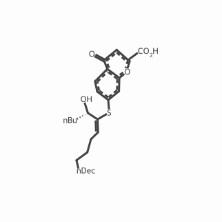 CCCCCCCCCCCCCC=C(Sc1ccc2c(=O)cc(C(=O)O)oc2c1)[C@@H](O)CCCC